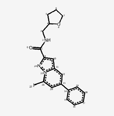 O=C(NCC1CCCO1)c1cc2cc(-c3ccccc3)cc(I)n2n1